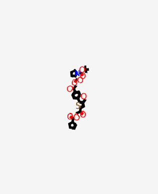 CC(C)(C)OC(=O)N1CCC[C@H]1C(=O)OCC(=O)c1ccc2c(c1)OCc1cc(C(=O)COC(=O)C3CCCC3)sc1-2